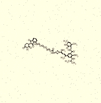 C/C(=C\C=C(/N)N1CN(NC(=O)OOOOOOOONc2cccc3c2C(=O)N(C2CCC(=O)NC2=O)C3=O)C1)c1cc(NC(C)C)c(N)c(C(=O)NCc2c(C)cc(C)[nH]c2=O)c1